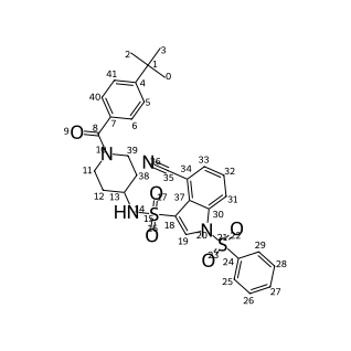 CC(C)(C)c1ccc(C(=O)N2CCC(NS(=O)(=O)c3cn(S(=O)(=O)c4ccccc4)c4cccc(C#N)c34)CC2)cc1